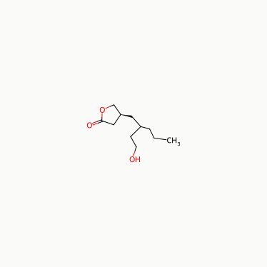 CCCC(CCO)C[C@@H]1COC(=O)C1